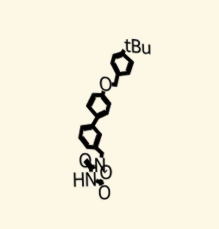 CC(C)(C)c1ccc(COc2ccc(-c3cccc(Cn4oc(=O)[nH]c4=O)c3)cc2)cc1